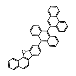 c1ccc2c(c1)cc(-c1c3ccccc3c(-c3ccc4c(c3)oc3c5ccccc5ccc43)c3ccccc13)c1ccccc12